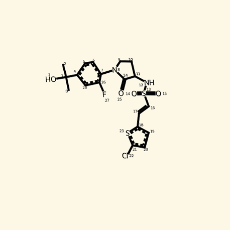 CC(C)(O)c1ccc(N2CCC(NS(=O)(=O)C=Cc3ccc(Cl)s3)C2=O)c(F)c1